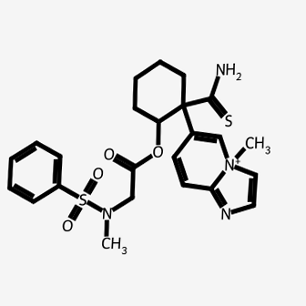 CN(CC(=O)OC1CCCCC1(C(N)=S)C1=C[N+]2(C)C=CN=C2C=C1)S(=O)(=O)c1ccccc1